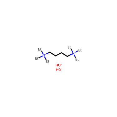 CC[N+](CC)(CC)CCCC[N+](CC)(CC)CC.[OH-].[OH-]